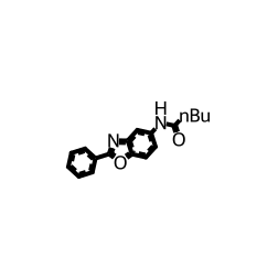 CCCCC(=O)Nc1ccc2oc(-c3ccccc3)nc2c1